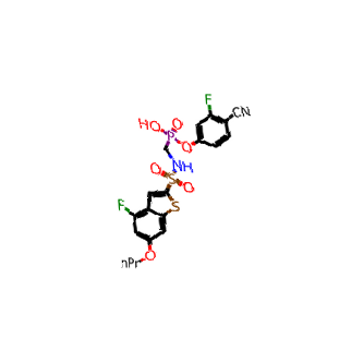 CCCOc1cc(F)c2cc(S(=O)(=O)NCP(=O)(O)Oc3ccc(C#N)c(F)c3)sc2c1